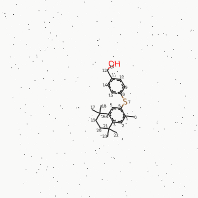 Cc1cc2c(cc1Sc1ccc(CO)cc1)C(C)(C)CCC2(C)C